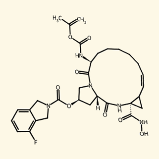 C=C(C)OC(=O)N[C@H]1CCCCC/C=C\C2C[C@@]2(C(=O)NO)NC(=O)[C@@H]2C[C@@H](OC(=O)N3Cc4cccc(F)c4C3)CN2C1=O